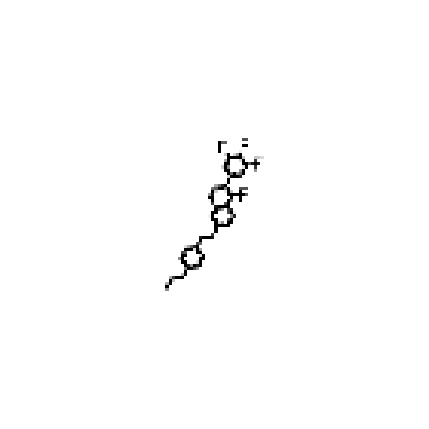 CCCc1ccc(CCc2ccc3c(F)c(-c4cc(F)c(F)c(F)c4)ccc3c2)cc1